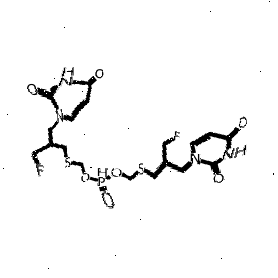 O=c1ccn(CC(CF)CSCO[PH](=O)OCSCC(CF)Cn2ccc(=O)[nH]c2=O)c(=O)[nH]1